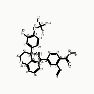 C=Cc1cc(C(=O)N[C@]2(c3ccc(OC(F)(F)F)c(F)c3)CCOc3cccnc32)ccc1C(=O)OC